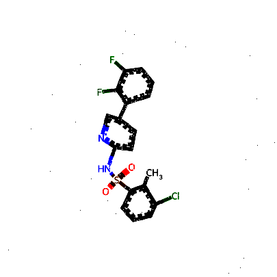 Cc1c(Cl)cccc1S(=O)(=O)Nc1ccc(-c2cccc(F)c2F)cn1